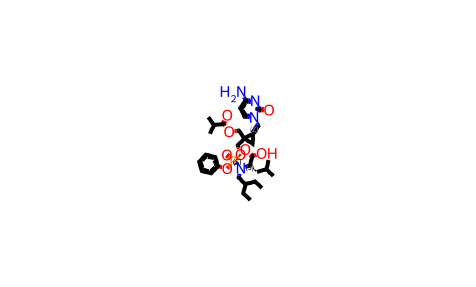 CCC(CC)CN([C@@H](CC(C)C)C(=O)O)[P@](=O)(OCC1(COC(=O)C(C)C)C/C1=C/n1ccc(N)nc1=O)Oc1ccccc1